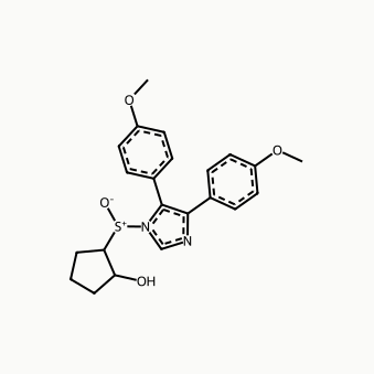 COc1ccc(-c2ncn([S+]([O-])C3CCCC3O)c2-c2ccc(OC)cc2)cc1